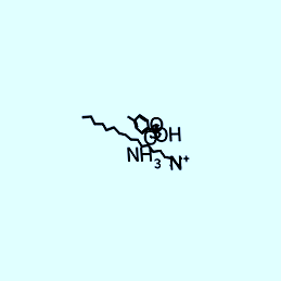 CCCCCCCCCCCCCCCC[N+](C)(C)C.Cc1ccc(S(=O)(=O)O)cc1.N